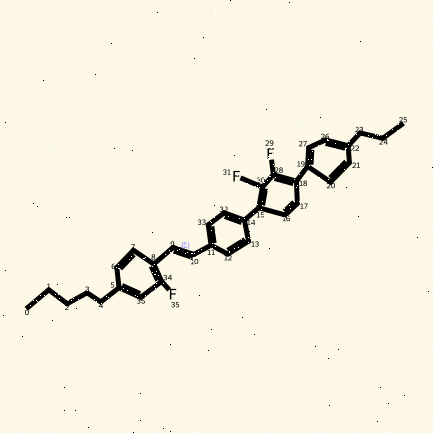 CCCCCc1ccc(/C=C/c2ccc(-c3ccc(-c4ccc(CCC)cc4)c(F)c3F)cc2)c(F)c1